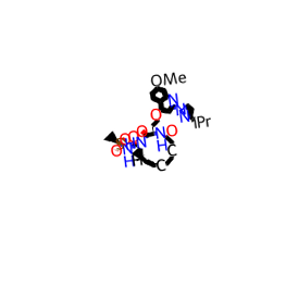 COc1ccc2c(OCC[C@@H]3NC(=O)CCCCC/C=C\[C@@H]4C[C@@]4(C(=O)NS(=O)(=O)C4CC4)NC3=O)cc(-n3ccc(C(C)C)n3)nc2c1